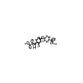 COC(=O)C(=O)Nc1cnc(O[C@H]2CC[C@@H](C(=O)OC)CC2)cc1C